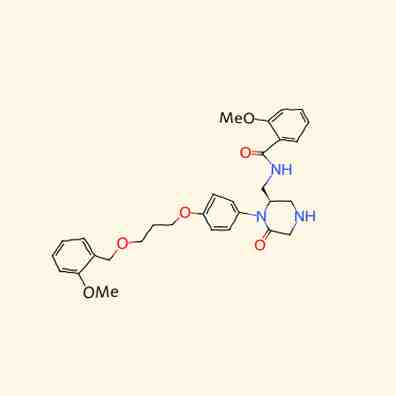 COc1ccccc1COCCCOc1ccc(N2C(=O)CNC[C@@H]2CNC(=O)c2ccccc2OC)cc1